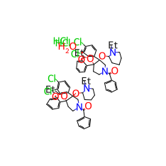 CCC(=O)OC1(c2ccccc2)CCN(C(=O)c2ccccc2)CC1(OC1CCCCN1CC)c1ccc(Cl)c(Cl)c1.CCC(=O)OC1(c2ccccc2)CCN(C(=O)c2ccccc2)CC1(OC1CCCCN1CC)c1ccc(Cl)c(Cl)c1.Cl.Cl.O